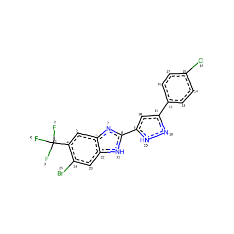 FC(F)(F)c1cc2nc(-c3cc(-c4ccc(Cl)cc4)n[nH]3)[nH]c2cc1Br